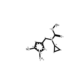 Cn1nc(CN(C(=O)OC(C)(C)C)C2CC2)cc1C#N